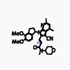 COc1ccc2c(c1OC)CCC2n1c(/C=C/C(=O)N(C)C2CCOCC2)c(C#N)c2c(C)cc(C)nc21